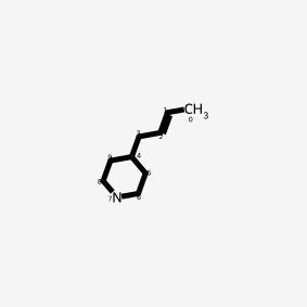 C/C=C/CC1CC[N]CC1